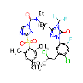 CCN(CC)C(=O)n1cnc(S(=O)(=O)c2c(C)cc(C)cc2C)n1.CCOC(=O)C(Cl)Cc1cc(-n2nc(C)n(C(F)F)c2=O)c(F)cc1Cl